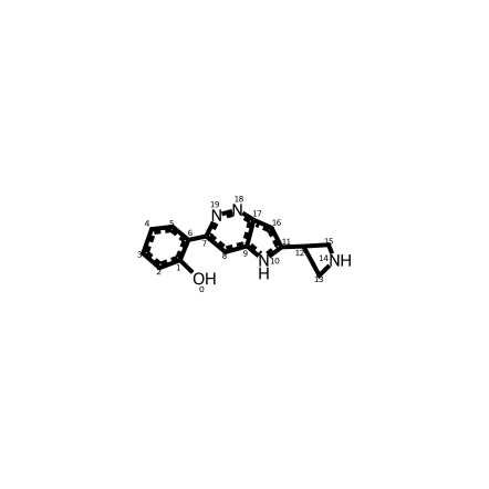 Oc1ccccc1-c1cc2[nH]c(C3CNC3)cc2nn1